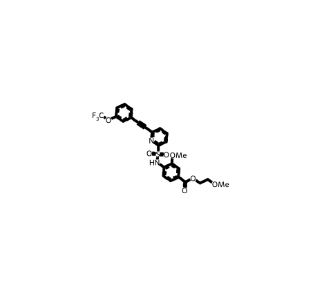 COCCOC(=O)c1ccc(NS(=O)(=O)c2cccc(C#Cc3cccc(OC(F)(F)F)c3)n2)c(OC)c1